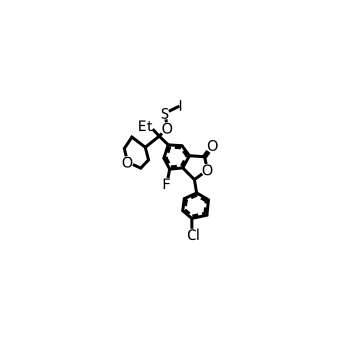 CCC(OSI)(c1cc(F)c2c(c1)C(=O)OC2c1ccc(Cl)cc1)C1CCOCC1